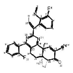 C=Nc1c(F)cccc1/C(=C\C)c1nc(-c2ccccc2F)c2c(n1)[C@]1(C)C=C(C#N)C(=O)[C@H](C)[C@H]1CC2